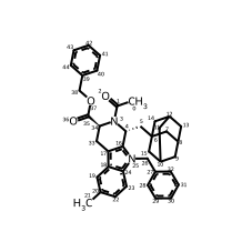 CC(=O)N1[C@H](CC23CC4CC(CC(C4)C2)C3)c2c(c3cc(C)ccc3n2Cc2ccccc2)C[C@H]1C(=O)OCc1ccccc1